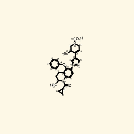 CC1CCc2c(ccc(-n3cc(C4=CCN(C(=O)O)CC4C(C)(C)C)cn3)c2Oc2ccccc2)N1C(=O)C1CC1